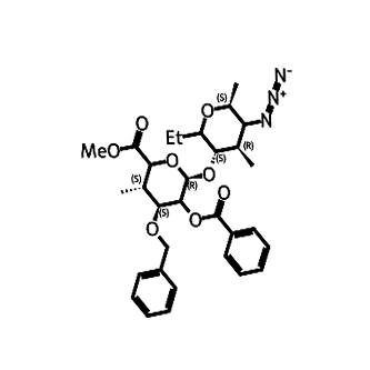 CCC1O[C@@H](C)C(N=[N+]=[N-])[C@@H](C)[C@@H]1O[C@@H]1OC(C(=O)OC)[C@@H](C)[C@H](OCc2ccccc2)C1OC(=O)c1ccccc1